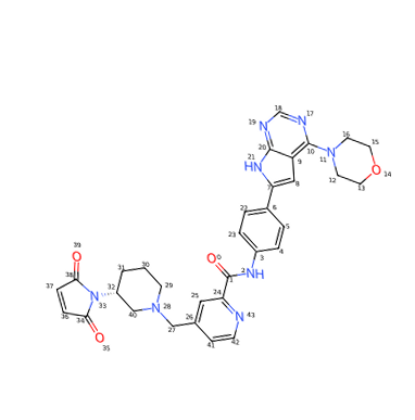 O=C(Nc1ccc(-c2cc3c(N4CCOCC4)ncnc3[nH]2)cc1)c1cc(CN2CCC[C@@H](N3C(=O)C=CC3=O)C2)ccn1